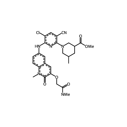 CNC(=O)COc1cc2cc(Nc3nc(N4CC(C)CC(C(=O)OC)C4)c(C#N)cc3Cl)ccc2n(C)c1=O